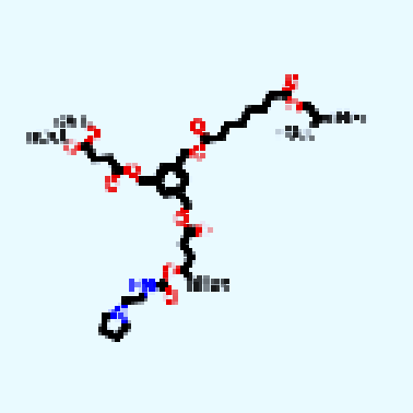 CCCCCCCCOC(CCC(=O)OCc1cc(COC(=O)CCCCCCC(=O)OCC(CCCCCC)CCCCCCCC)cc(COC(=O)CCC(CCCCCC)OC(=O)NCCN2CCCC2)c1)OCCCCCCCC